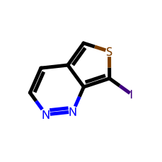 Ic1scc2ccnnc12